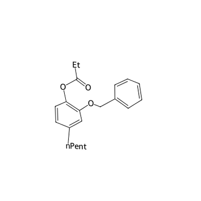 CCCCCc1ccc(OC(=O)CC)c(OCc2ccccc2)c1